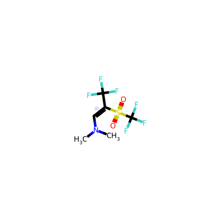 CN(C)/C=C(/C(F)(F)F)S(=O)(=O)C(F)(F)F